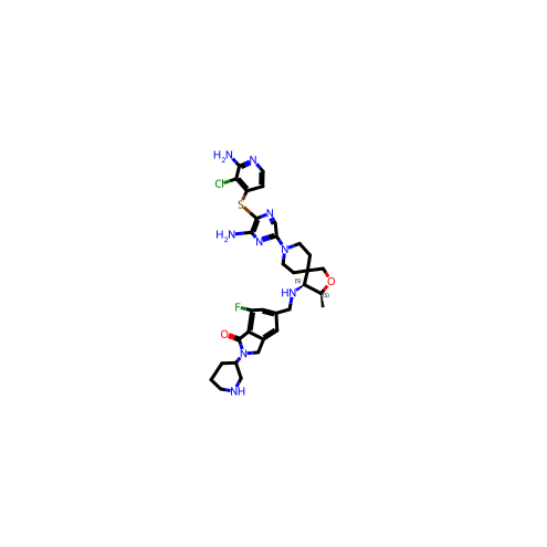 C[C@@H]1OCC2(CCN(c3cnc(Sc4ccnc(N)c4Cl)c(N)n3)CC2)[C@@H]1NCc1cc(F)c2c(c1)CN(C1CCCNC1)C2=O